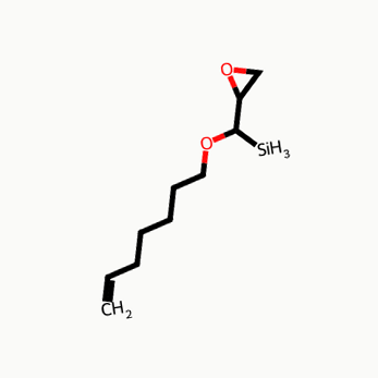 C=CCCCCCOC([SiH3])C1CO1